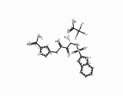 C[C@H](NS(=O)(=O)c1cc2ccccc2s1)C(=O)C(=N)Cc1csc(C(=N)N)c1.O=C(O)C(F)(F)F